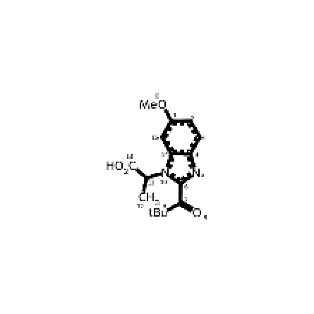 COc1ccc2nc(C(=O)C(C)(C)C)n(C(C)C(=O)O)c2c1